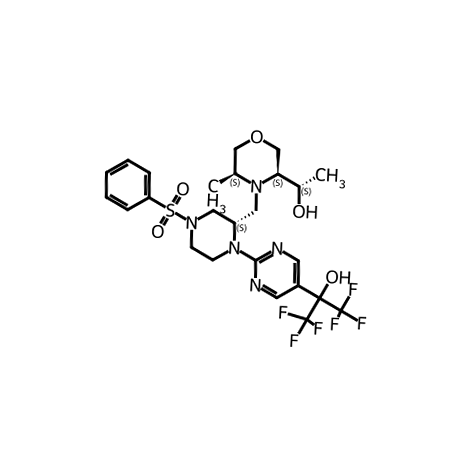 C[C@H](O)[C@@H]1COC[C@H](C)N1C[C@H]1CN(S(=O)(=O)c2ccccc2)CCN1c1ncc(C(O)(C(F)(F)F)C(F)(F)F)cn1